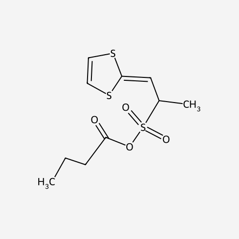 CCCC(=O)OS(=O)(=O)C(C)C=C1SC=CS1